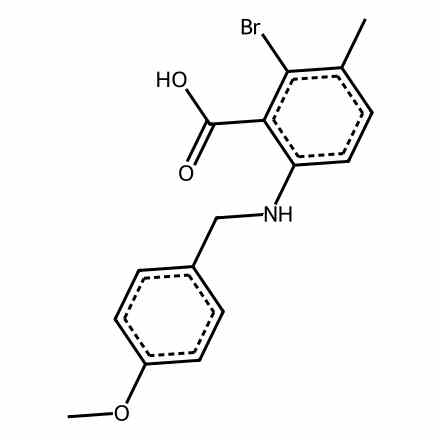 COc1ccc(CNc2ccc(C)c(Br)c2C(=O)O)cc1